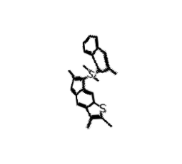 CC1=Cc2ccccc2C1[Si](C)(C)C1=C(C)C=C2C=C3C(C)=C(C)SC3C=C21